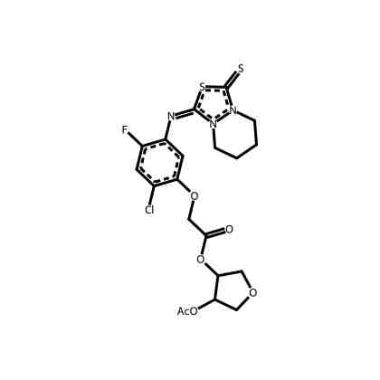 CC(=O)OC1COCC1OC(=O)COc1cc(/N=c2/sc(=S)n3n2CCCC3)c(F)cc1Cl